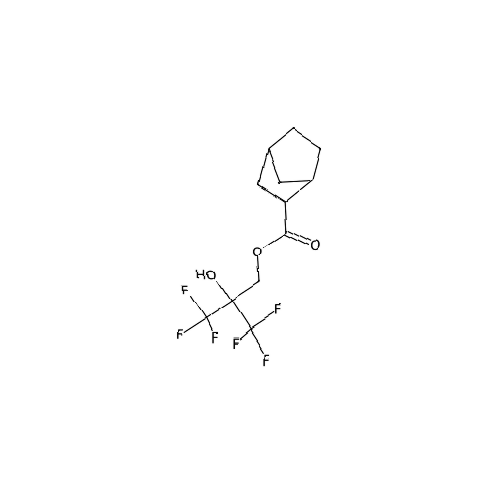 O=C(OCC(O)(C(F)(F)F)C(F)(F)F)C1CC2CCC1C2